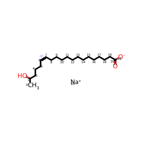 CC(O)CCC/C=C\CCCCCCCCCCCCC(=O)[O-].[Na+]